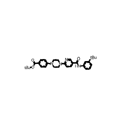 CC(C)(C)OC(=O)c1ccc(N2CCN(c3ccc(C(=O)Nc4cccc(C(C)(C)C)c4)cn3)CC2)cc1